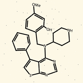 COc1ccc(CN(c2ncnc3scc(-c4ccccc4)c23)C2CCNCC2)c(O)c1